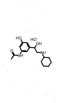 CC(=O)Nc1cc(O)cc(C(O)CNC2CCCCC2)c1.Cl